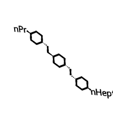 CCCCCCC[C@H]1CC[C@H](CC[C@H]2CC[C@H](CC[C@H]3CC[C@H](CCC)CC3)CC2)CC1